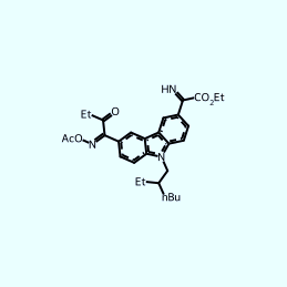 CCCCC(CC)Cn1c2ccc(C(=N)C(=O)OCC)cc2c2cc(/C(=N/OC(C)=O)C(=O)CC)ccc21